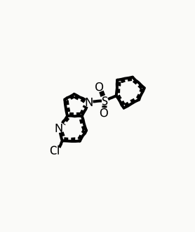 O=S(=O)(c1ccccc1)n1ccc2nc(Cl)ccc21